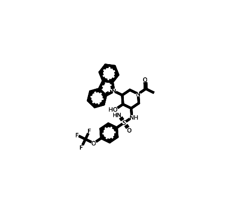 CC(=O)N1CC(NS(=N)(=O)c2ccc(OC(F)(F)F)cc2)C(O)C(n2c3ccccc3c3ccccc32)C1